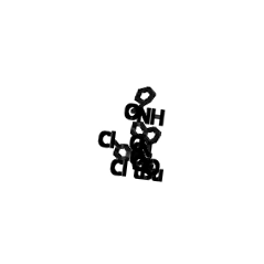 CC(C)(C)OC(=O)CN(c1cccc2c(NC(=O)c3ccccc3)cccc12)S(=O)(=O)c1cc(Cl)cc(Cl)c1